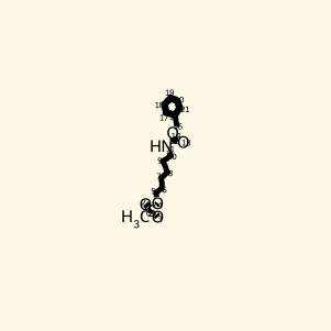 CS(=O)(=O)OCCCCCCNC(=O)OCc1ccccc1